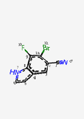 N#Cc1cc2cc[nH]c2c(F)c1Br